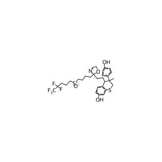 CC1(c2ccc(O)cc2)CSc2cc(O)ccc2C1CCC1(CCCC[S+]([O-])CCCC(F)(F)C(F)(F)F)N=CCO1